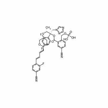 C[C@@H](S[C@H]1CO[C@H](C=CC=Cc2ccc(C#N)cc2F)OC1)[C@@](Cn1cncn1)(OC(=O)c1cc(C#N)ccc1COP(=O)(O)O)c1ccc(F)cc1F